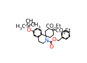 CCOC(=O)C1(C(=O)OCC)CCC2(CC1)c1ccc(O[Si](C)(C)C)cc1CCN2C(=O)OCc1ccccc1